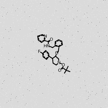 CC(C)(C)C(=O)ON1CCC(c2ccc(F)cc2)C(OCc2ccccc2CNC(=O)c2ccccn2)C1